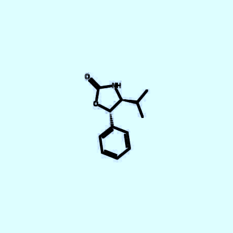 CC(C)[C@@H]1NC(=O)O[C@H]1c1ccccc1